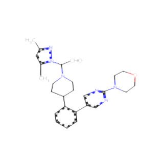 Cc1cc(C)n(C(C=O)N2CCC(c3ccccc3-c3cnc(N4CCOCC4)nc3)CC2)n1